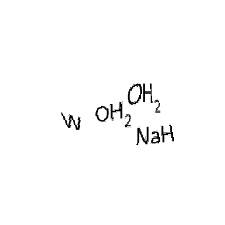 O.O.[NaH].[W]